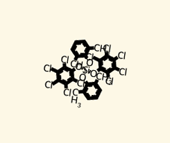 Cc1cccc(C)c1O[Si](Oc1c(C)cccc1C)(Oc1c(Cl)c(Cl)c(Cl)c(Cl)c1Cl)Oc1c(Cl)c(Cl)c(Cl)c(Cl)c1Cl